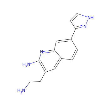 NCCc1cc2ccc(-c3cc[nH]n3)cc2nc1N